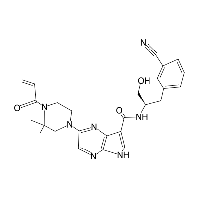 C=CC(=O)N1CCN(c2cnc3[nH]cc(C(=O)N[C@@H](CO)Cc4cccc(C#N)c4)c3n2)CC1(C)C